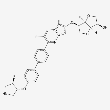 O[C@@H]1CO[C@H]2[C@@H]1OC[C@H]2Oc1cc2nc(-c3ccc(-c4ccc(O[C@@H]5CNC[C@H]5F)cc4)cc3)c(F)cc2[nH]1